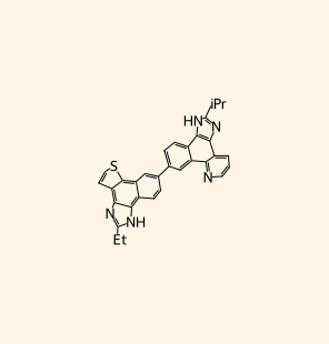 CCc1nc2c3ccsc3c3cc(-c4ccc5c(c4)c4ncccc4c4nc(C(C)C)[nH]c54)ccc3c2[nH]1